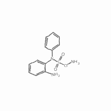 NOS(=O)(=O)N(c1ccccc1)c1ccccc1N